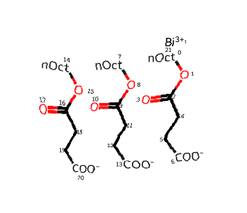 CCCCCCCCOC(=O)CCC(=O)[O-].CCCCCCCCOC(=O)CCC(=O)[O-].CCCCCCCCOC(=O)CCC(=O)[O-].[Bi+3]